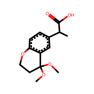 COC1(OC)CCOc2ccc(C(C)C(=O)O)cc21